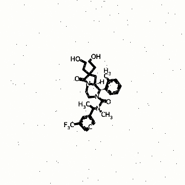 Cc1ccccc1[C@H]1[C@@H]2CC(CCO)(CCO)C(=O)N2CCN1C(=O)N(C)C(C)c1cccc(C(F)(F)F)c1